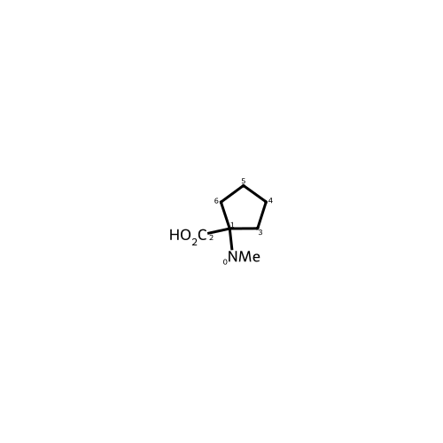 CNC1(C(=O)O)CCCC1